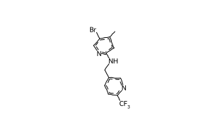 Cc1cc(NCc2ccc(C(F)(F)F)nc2)ncc1Br